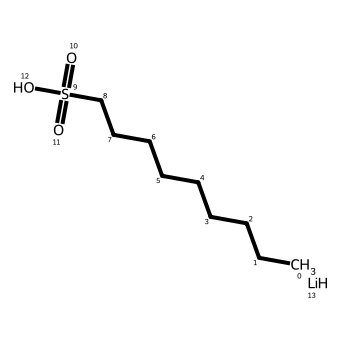 CCCCCCCCCS(=O)(=O)O.[LiH]